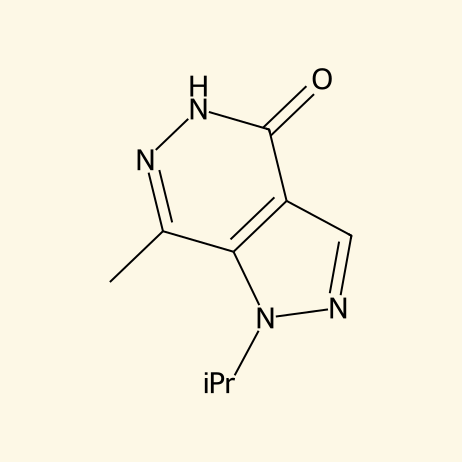 Cc1n[nH]c(=O)c2cnn(C(C)C)c12